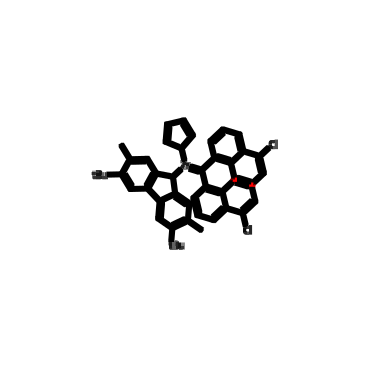 Cc1cc2c(cc1C(C)(C)C)-c1cc(C(C)(C)C)c(C)cc1[CH]2[Zr](=[C](c1cccc2c(Cl)cccc12)c1cccc2c(Cl)cccc12)[CH]1C=CC=C1